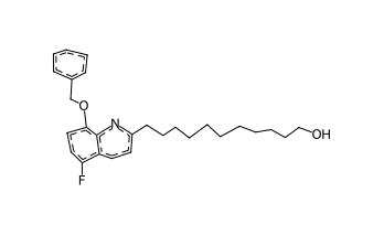 OCCCCCCCCCCCc1ccc2c(F)ccc(OCc3ccccc3)c2n1